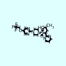 CC(O)CC(c1ncccn1)S(=O)(=O)N1CCN(c2ncc(OCC(F)(F)F)cn2)CC1